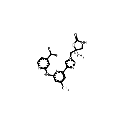 Cc1cc(Nc2cc(C(F)F)ccn2)nc(-c2cn(C[C@]3(C)CNC(=O)O3)nn2)c1